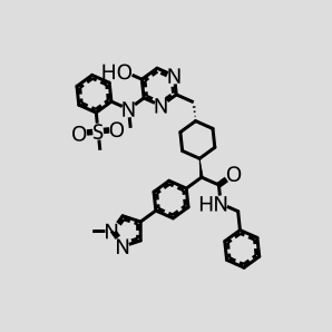 CN(c1ccccc1S(C)(=O)=O)c1nc(C[C@H]2CC[C@H](C(C(=O)NCc3ccccc3)c3ccc(-c4cnn(C)c4)cc3)CC2)ncc1O